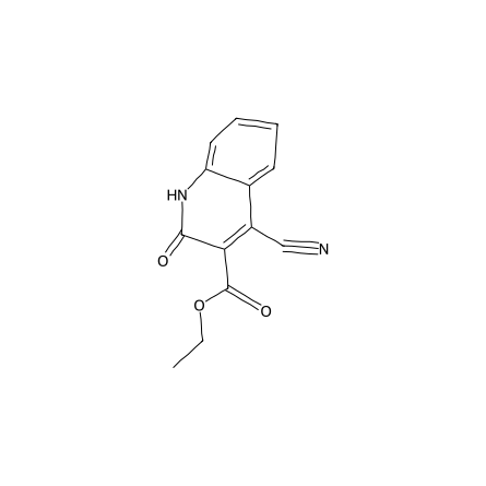 CCOC(=O)c1c(C#N)c2ccccc2[nH]c1=O